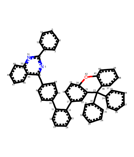 c1ccc(-c2nc(-c3ccc(-c4ccccc4-c4ccc5c(c4)C(c4ccccc4)(c4ccccc4)c4ccccc4O5)cc3)c3ccccc3n2)cc1